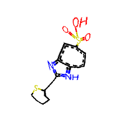 O=S(=O)(O)c1ccc2[nH]c(C3CCCS3)nc2c1